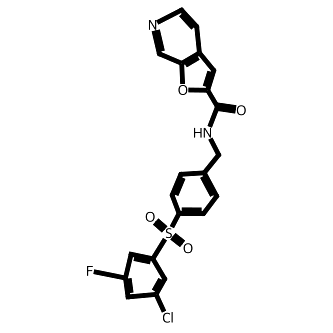 O=C(NCc1ccc(S(=O)(=O)c2cc(F)cc(Cl)c2)cc1)c1cc2ccncc2o1